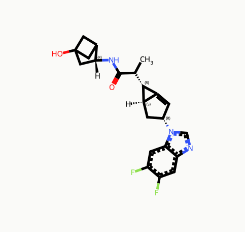 CC(C(=O)N[C@@H]1CC2(O)CC1C2)[C@@H]1C2=C[C@H](n3cnc4cc(F)c(F)cc43)C[C@H]21